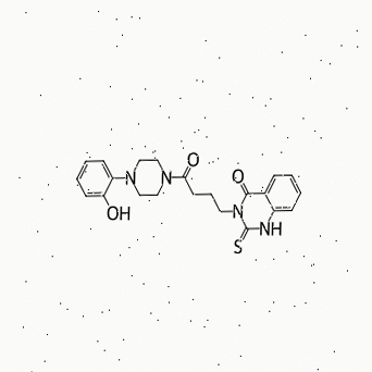 O=C(CCCn1c(=S)[nH]c2ccccc2c1=O)N1CCN(c2ccccc2O)CC1